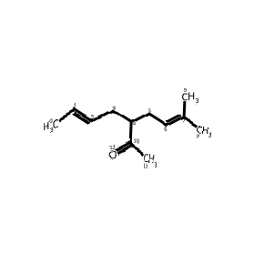 CC=CCC(CC=C(C)C)C(C)=O